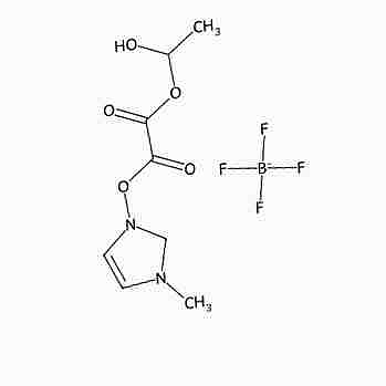 CC(O)OC(=O)C(=O)ON1C=CN(C)C1.F[B-](F)(F)F